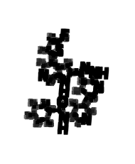 O=C(Nc1cncc(-c2cnc3[nH]nc(-c4cc5c(-c6ccc(F)s6)cncc5[nH]4)c3c2)c1)c1ccccc1